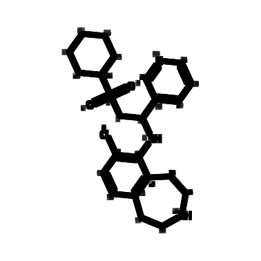 O=S(=O)(CC(Nc1c(Cl)ccc2c1CCNCC2)c1cccnc1)C1CCCCC1